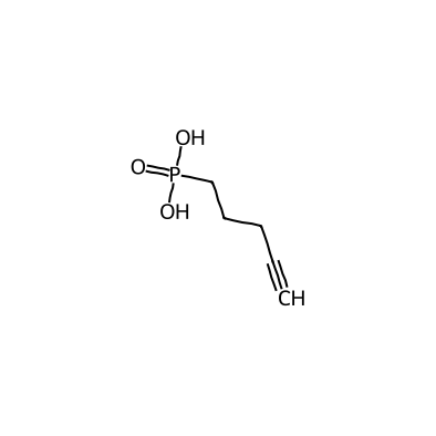 C#CCCCP(=O)(O)O